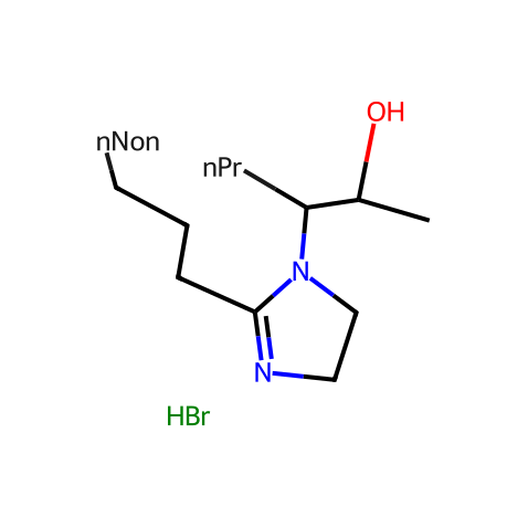 Br.CCCCCCCCCCCCC1=NCCN1C(CCC)C(C)O